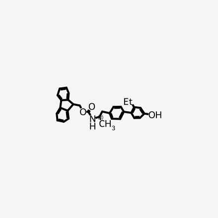 CCc1cc(O)ccc1-c1ccc(C[C@@H](C)NC(=O)OCC2c3ccccc3-c3ccccc32)cc1